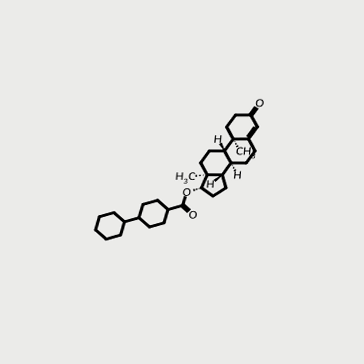 C[C@]12CC[C@H]3[C@@H](CCC4=CC(=O)CC[C@@]43C)[C@@H]1CC[C@@H]2OC(=O)C1CCC(C2CCCCC2)CC1